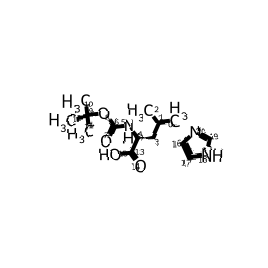 CC(C)C[C@H](NC(=O)OC(C)(C)C)C(=O)O.c1c[nH]cn1